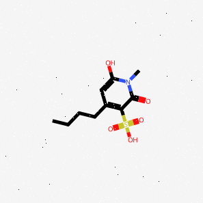 CCCCc1cc(O)n(C)c(=O)c1S(=O)(=O)O